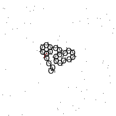 CCCCOCC(C)OCC(C)OCC(C)OCC(C)OCC(C)OCC(C)OCC(C)OCC(C)OCC(C)OCC(C)OCC(C)OCC(C)OCC(C)OCC(C)OCC(C)OCC(C)OCC(C)OCC(C)OCC(C)OCCOCCOC(=O)CC